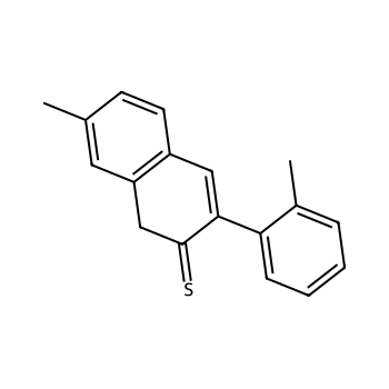 Cc1ccc2c(c1)CC(=S)C(c1ccccc1C)=C2